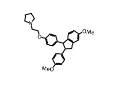 COc1ccc(C2Cc3cc(OC)ccc3C2c2ccc(OCCN3CCCC3)cc2)cc1